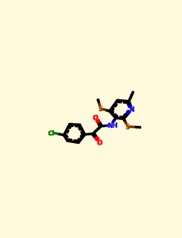 CSc1cc(C)nc(SC)c1NC(=O)C(=O)c1ccc(Cl)cc1